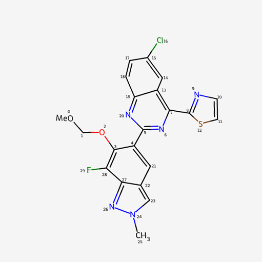 COCOc1c(-c2nc(-c3nccs3)c3cc(Cl)ccc3n2)cc2cn(C)nc2c1F